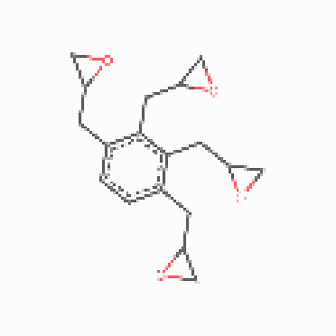 c1cc(CC2CO2)c(CC2CO2)c(CC2CO2)c1CC1CO1